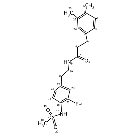 Cc1ccc(CCC(=O)NCCc2ccc(NS(C)(=O)=O)c(F)c2)cc1C